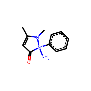 CC1=CC(=O)[N+](N)(c2ccccc2)N1C